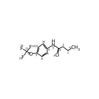 CCCC(=O)Nc1ccc(OC(F)(F)F)cc1